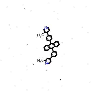 Cc1cc(-c2cccc(-c3c4ccccc4c(-c4ccc(-c5ccncc5C)cc4)c4ccccc34)c2)ccn1